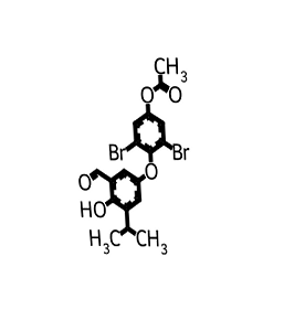 CC(=O)Oc1cc(Br)c(Oc2cc(C=O)c(O)c(C(C)C)c2)c(Br)c1